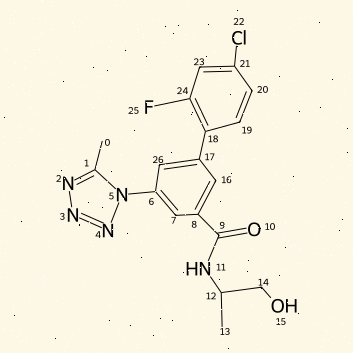 Cc1nnnn1-c1cc(C(=O)NC(C)CO)cc(-c2ccc(Cl)cc2F)c1